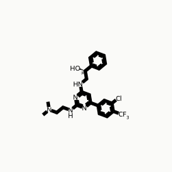 CN(C)CCNc1nc(NC[C@H](O)c2ccccc2)cc(-c2ccc(C(F)(F)F)c(Cl)c2)n1